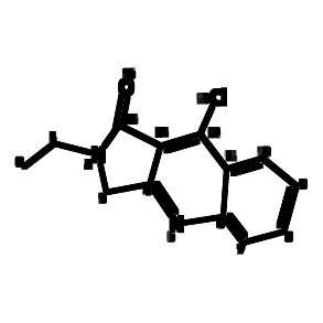 CCN1Cc2nc3ccccc3c(Cl)c2C1=O